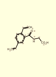 C=Cc1ccc(C=C)c(C(=O)NCC(=O)O)c1